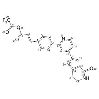 O=C(/C=C/c1ccc(-c2cc(-c3cc4c([nH]3)CCNC4=O)ccn2)cc1)OC(=O)C(F)(F)F